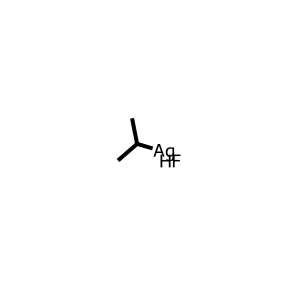 C[CH](C)[Ag].F